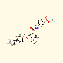 COC(=O)c1ccc(CNC(=O)c2cc(OCc3ccc(-c4ccccc4)cc3)c3ccccc3n2)cc1